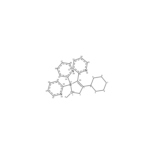 C[O+]1CC(C2CCCCC2)=C(c2ccccn2)[B-]1(c1ccccn1)c1ccccn1